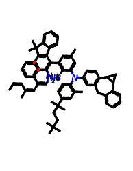 Bc1c(-c2c(N/C=C(/C=C(C)\C=C/C)c3ccccc3)ccc3c2-c2ccccc2C3(C)C)cc(C)cc1N(c1ccc2c(c1)Cc1ccccc1C1CC21)c1ccc(C(C)(C)CCC(C)(C)C)cc1C